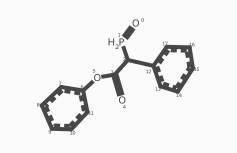 O=[PH2]C(C(=O)Oc1ccccc1)c1ccccc1